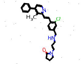 Cc1c(-c2ccccc2)ccnc1/C=C/c1ccc(CNCCCN2CCCC2=O)cc1Cl